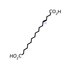 O=C(O)CC/C=C/CCCCCCCCCCCC(=O)O